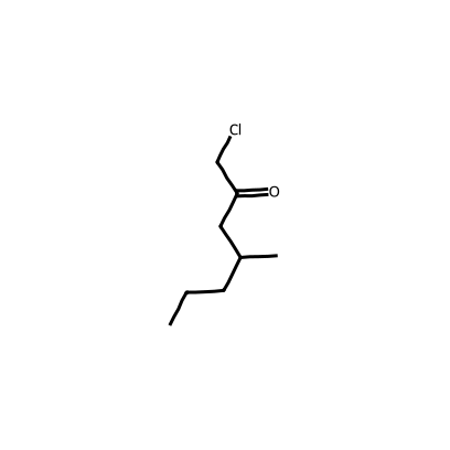 CCCC(C)CC(=O)CCl